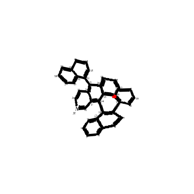 c1ccc(-c2ccc3ccccc3c2-c2c3ccccc3c(-c3cccc4ccccc34)c3ccncc23)cc1